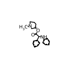 CN1CCC[C@@H](OC(=O)C(Nc2ccccc2)c2ccccc2)C1